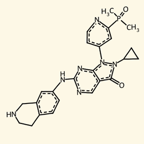 CP(C)(=O)c1cc(-n2c3nc(Nc4ccc5c(c4)CNCC5)ncc3c(=O)n2C2CC2)ccn1